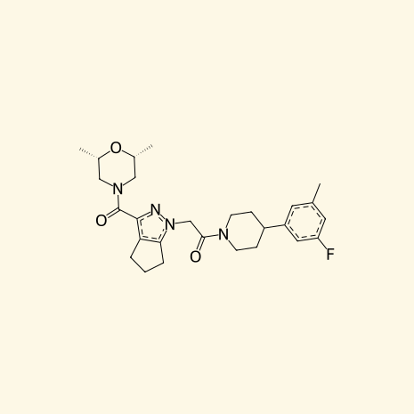 Cc1cc(F)cc(C2CCN(C(=O)Cn3nc(C(=O)N4C[C@@H](C)O[C@@H](C)C4)c4c3CCC4)CC2)c1